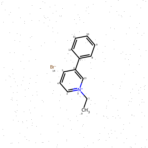 CC[n+]1cccc(-c2ccccc2)c1.[Br-]